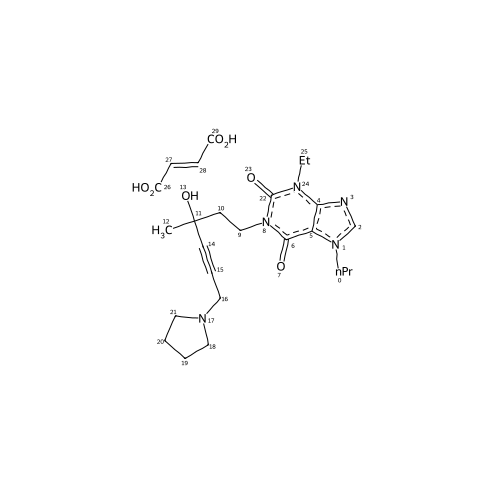 CCCn1cnc2c1c(=O)n(CCC(C)(O)C#CCN1CCCC1)c(=O)n2CC.O=C(O)/C=C/C(=O)O